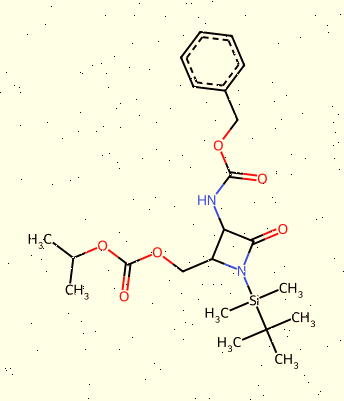 CC(C)OC(=O)OCC1C(NC(=O)OCc2ccccc2)C(=O)N1[Si](C)(C)C(C)(C)C